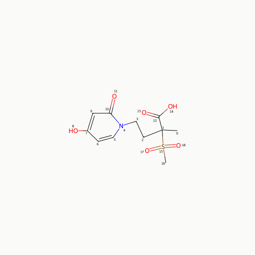 CC(CCn1ccc(O)cc1=O)(C(=O)O)S(C)(=O)=O